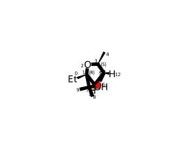 CC[C@]12O[C@@H](C)[C@H](OC1(C)C)[C@@H]2O